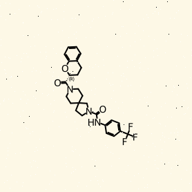 O=C(Nc1ccc(C(F)(F)F)cc1)N1CCC2(CCN(C(=O)[C@H]3CCc4ccccc4O3)CC2)C1